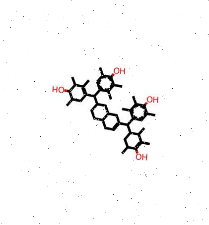 CC1=C(C(c2cc(C)c(O)c(C)c2C)C2CCC3CC=C(C(c4cc(C)c(O)c(C)c4C)C4CC(C)C(O)=C(C)C4C)CC3C2)CC(C)C(O)C1C